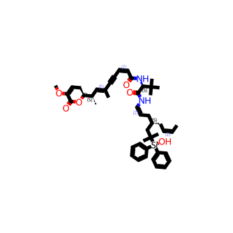 C/C=C\C[C@@H](C/C=C\NC(=O)[C@@H](NC(=O)/C=C\C#C/C(C)=C/[C@H](C)[C@@H]1CC=C(OC)C(=O)O1)C(C)(C)C)CC(C)(C)[Si](O)(c1ccccc1)c1ccccc1